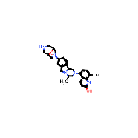 CC1CN(c2ccc(C#N)c3nc(O)ccc23)CC2c3ccc(N4CC5CNCC(C4)O5)cc3CN12